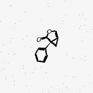 O=C1OC=C2C[C@]12c1ccccc1